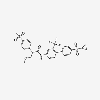 COCC(C(=O)Nc1ccc(-c2ccc(S(=O)(=O)C3CC3)cc2)c(C(F)(F)F)c1)c1ccc(S(C)(=O)=O)cc1